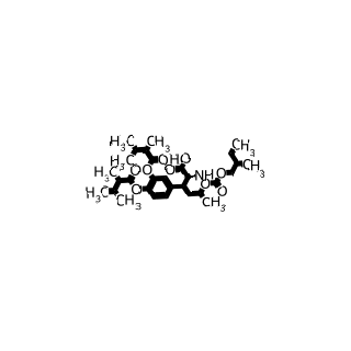 CCC(C)COC(=O)OC(C)CC(c1ccc(OC(=O)C(C)C(C)C)c(OC(=O)C(C)C(C)C)c1)[C@H](N)C(=O)O